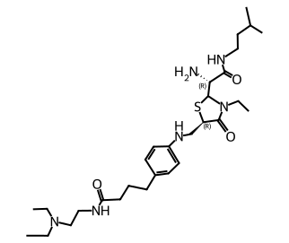 CCN(CC)CCNC(=O)CCCc1ccc(NC[C@H]2SC([C@H](N)C(=O)NCCC(C)C)N(CC)C2=O)cc1